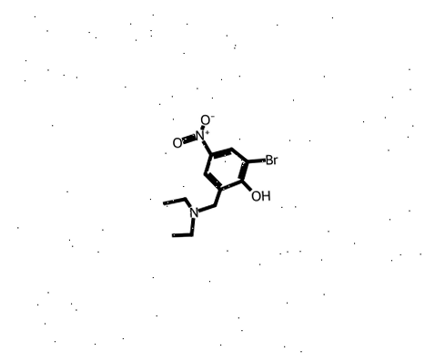 CCN(CC)Cc1cc([N+](=O)[O-])cc(Br)c1O